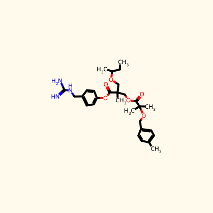 CCC(C)OCC(C)(COC(=O)C(C)(C)OCc1ccc(C)cc1)C(=O)Oc1ccc(CNC(=N)N)cc1